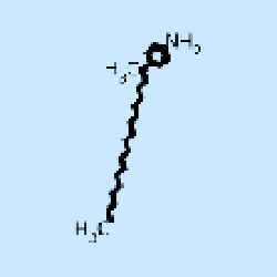 CCCCCCCCCCCCCCCCCCC(C)c1ccc(N)cc1